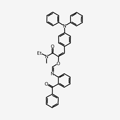 CCN(C)C(=O)/C(=C\c1ccc(N(c2ccccc2)c2ccccc2)cc1)O/C=N\c1ccccc1C(=O)c1ccccc1